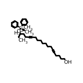 CCC(CCC#CCCCCCCCC#CCCCCO)O[Si](c1ccccc1)(c1ccccc1)C(C)(C)C